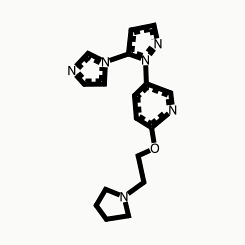 c1cn(-c2ccnn2-c2ccc(OCCN3CCCC3)nc2)cn1